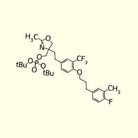 CC1=NC(CCc2ccc(OCCCc3ccc(F)c(C)c3)c(C(F)(F)F)c2)(COP(=O)(OC(C)(C)C)OC(C)(C)C)CO1